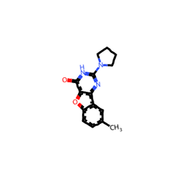 Cc1ccc2oc3c(=O)[nH]c(N4CCCC4)nc3c2c1